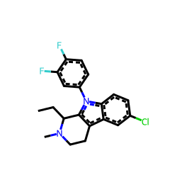 CCC1c2c(c3cc(Cl)ccc3n2-c2ccc(F)c(F)c2)CCN1C